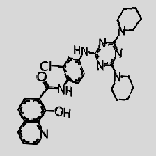 O=C(Nc1ccc(Nc2nc(N3CCCCC3)nc(N3CCCCC3)n2)cc1Cl)c1ccc2cccnc2c1O